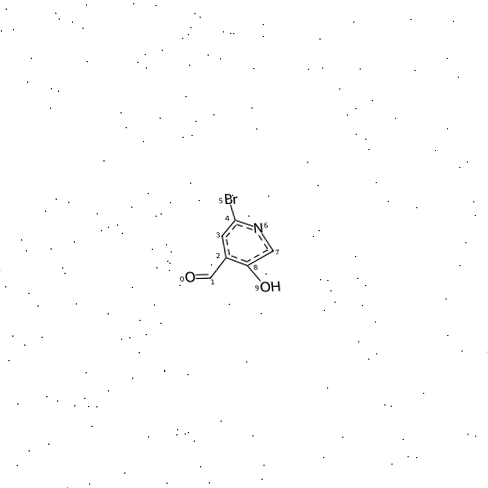 O=Cc1cc(Br)ncc1O